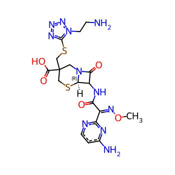 CON=C(C(=O)NC1C(=O)N2CC(CSc3nnnn3CCN)(C(=O)O)CS[C@H]12)c1nccc(N)n1